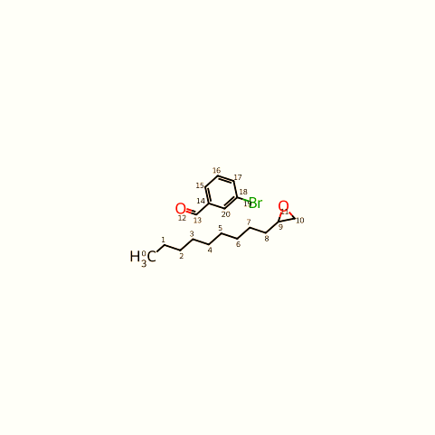 CCCCCCCCCC1CO1.O=Cc1cccc(Br)c1